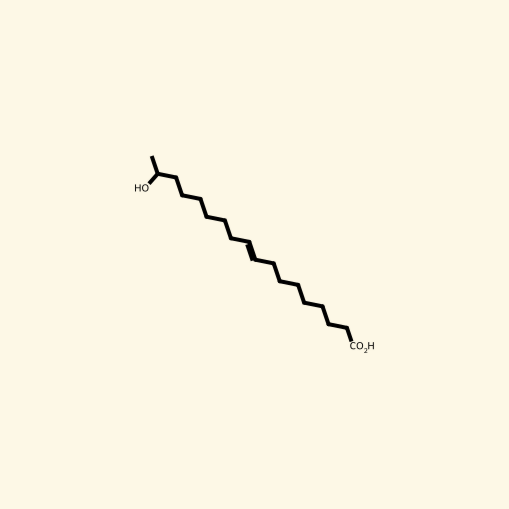 CC(O)CCCCCC/C=C/CCCCCCCC(=O)O